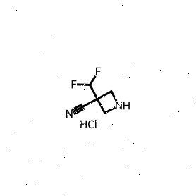 Cl.N#CC1(C(F)F)CNC1